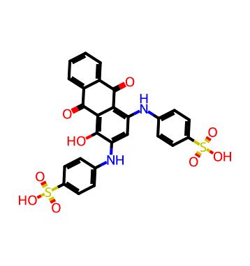 O=C1c2ccccc2C(=O)c2c(O)c(Nc3ccc(S(=O)(=O)O)cc3)cc(Nc3ccc(S(=O)(=O)O)cc3)c21